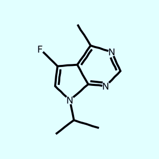 Cc1ncnc2c1c(F)cn2C(C)C